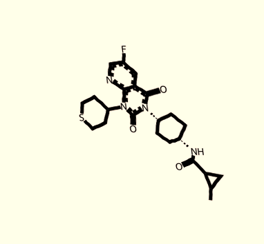 CC1CC1C(=O)N[C@H]1CC[C@@H](n2c(=O)c3cc(F)cnc3n(C3CCSCC3)c2=O)CC1